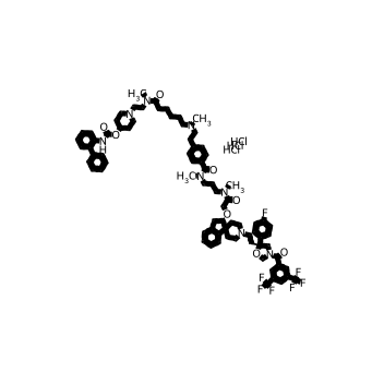 CN(CCCCCC(=O)N(C)CCN1CCC(OC(=O)Nc2ccccc2-c2ccccc2)CC1)CCc1ccc(C(=O)N(C)CCCN(C)C(=O)CO[C@H]2Cc3ccccc3C23CCN(CC[C@@]2(c4ccc(F)cc4)CN(C(=O)c4cc(C(F)(F)F)cc(C(F)(F)F)c4)CO2)CC3)cc1.Cl.Cl.Cl